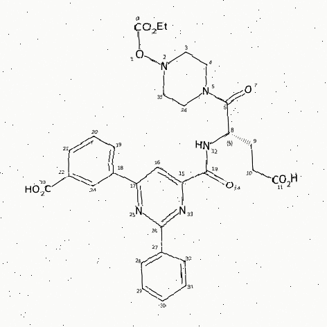 CCOC(=O)ON1CCN(C(=O)[C@H](CCC(=O)O)NC(=O)c2cc(-c3cccc(C(=O)O)c3)nc(-c3ccccc3)n2)CC1